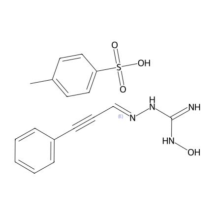 Cc1ccc(S(=O)(=O)O)cc1.N=C(NO)N/N=C/C#Cc1ccccc1